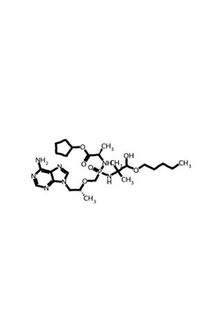 CCCCCOC(O)C(C)(C)NP(=O)(CO[C@H](C)Cn1cnc2c(N)ncnc21)N[C@H](C)C(=O)OC1CCCC1